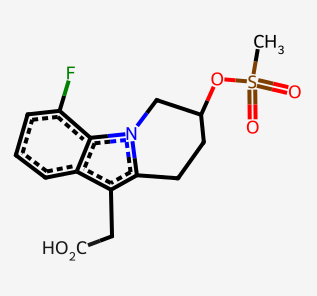 CS(=O)(=O)OC1CCc2c(CC(=O)O)c3cccc(F)c3n2C1